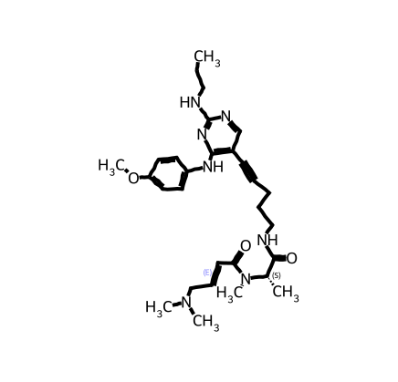 CCCNc1ncc(C#CCCCNC(=O)[C@H](C)N(C)C(=O)/C=C/CN(C)C)c(Nc2ccc(OC)cc2)n1